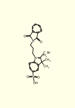 CC1=[N+](CCCN2C(=O)c3ccccc3C2=O)c2ccc(S(=O)(=O)O)cc2C1(C)C.[Br-]